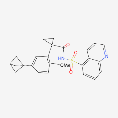 COc1ccc(C23CC(C2)C3)cc1C1(C(=O)NS(=O)(=O)c2cccc3ncccc23)CC1